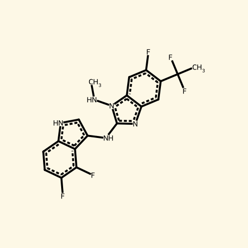 CNn1c(Nc2c[nH]c3ccc(F)c(F)c23)nc2cc(C(C)(F)F)c(F)cc21